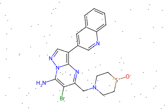 Nc1c(Br)c(CN2CC[S+]([O-])CC2)nc2c(-c3cnc4ccccc4c3)cnn12